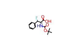 CC(C)(C)OC(=O)N[C@@H](C(=O)O)C(F)c1ccccc1